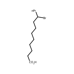 CCCC(Br)CCCCCCCC(=O)O